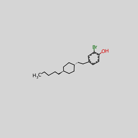 CCCCC[C@H]1CC[C@H](CCc2ccc(O)c(Br)c2)CC1